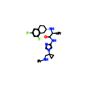 CCC[C@H](N[C@H]1CCc2cc(F)cc(F)c2C1)C(=O)Nc1cn(C2(CNC(C)C)CC2)cn1